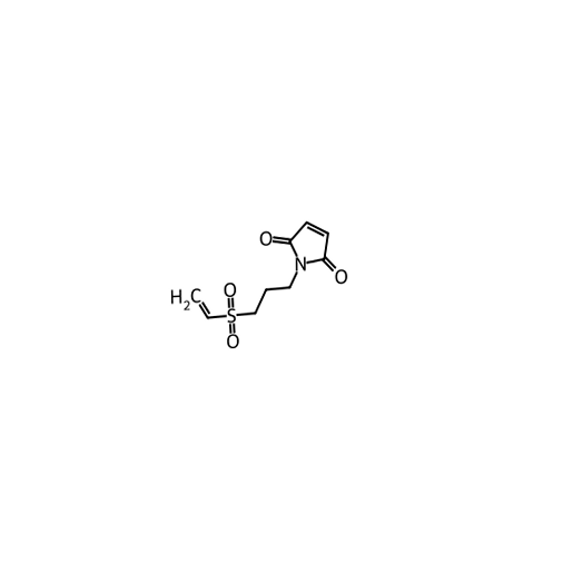 C=CS(=O)(=O)CCCN1C(=O)C=CC1=O